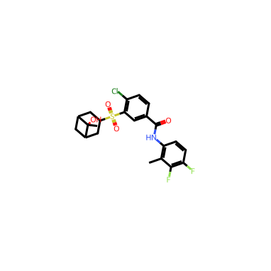 Cc1c(NC(=O)c2ccc(Cl)c(S(=O)(=O)C3CC4CC(C3)C4(C)O)c2)ccc(F)c1F